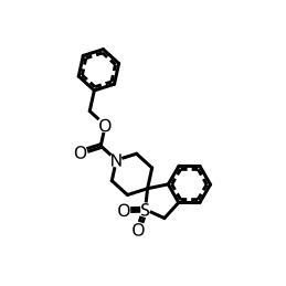 O=C(OCc1ccccc1)N1CCC2(CC1)c1ccccc1CS2(=O)=O